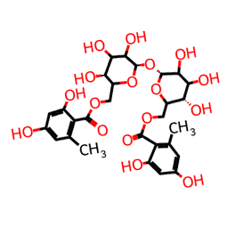 Cc1cc(O)cc(O)c1C(=O)OCC1O[C@H](O[C@H]2OC(COC(=O)c3c(C)cc(O)cc3O)[C@@H](O)C(O)C2O)C(O)C(O)[C@@H]1O